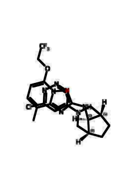 Cc1ccc(OCC(F)(F)F)n2nc(N[C@@H]3[C@@H]4CC[C@H]3CN(c3cnnc(Cl)c3)C4)nc12